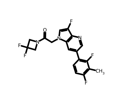 Cc1c(F)ccc(-c2cnc3c(F)cn(CC(=O)N4CC(F)(F)C4)c3c2)c1F